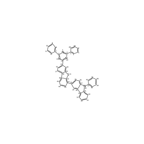 c1ccc(-c2nc(-c3ccccc3)nc(-c3ccc4c(c3)sc3c(-c5ccc6c(c5)c5ccccc5n6-c5ccccc5)cccc34)n2)cc1